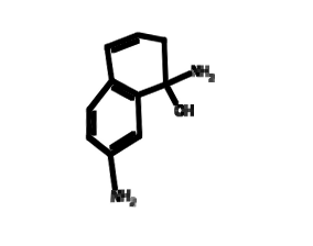 Nc1ccc2c(c1)C(N)(O)CC=C2